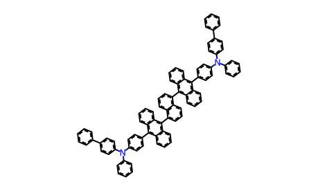 c1ccc(-c2ccc(N(c3ccccc3)c3ccc(-c4c5ccccc5c(-c5cccc6c(-c7c8ccccc8c(-c8ccc(N(c9ccccc9)c9ccc(-c%10ccccc%10)cc9)cc8)c8ccccc78)cccc56)c5ccccc45)cc3)cc2)cc1